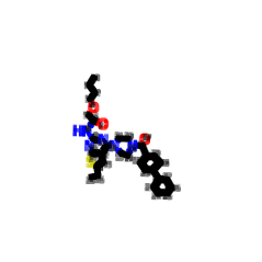 CCCCOCC(=O)Nc1nc(N2CCN(C(=O)c3ccc(-c4ccccc4)cc3)CC2)c2cc(CC)sc2n1